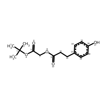 CC(C)(C)OC(=O)COC(=O)CCc1ccc(O)cc1